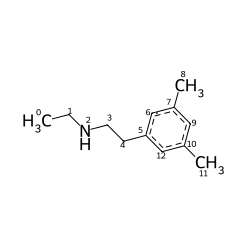 CCNCCc1[c]c(C)cc(C)c1